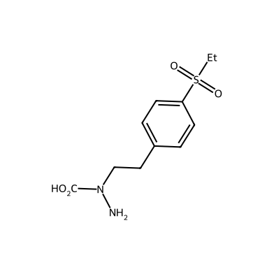 CCS(=O)(=O)c1ccc(CCN(N)C(=O)O)cc1